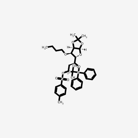 CCCCO[C@H]1[C@H]2OC(C)(C)O[C@H]2O[C@@H]1[C@H](CCOS(=O)(=O)c1ccc(C)cc1)O[Si](c1ccccc1)(c1ccccc1)C(C)(C)C